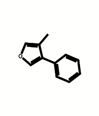 Cc1cocc1-c1ccccc1